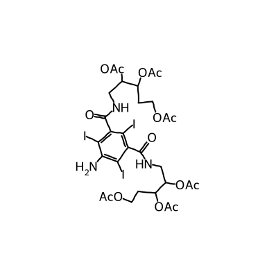 CC(=O)OCCC(OC(C)=O)C(CNC(=O)c1c(I)c(N)c(I)c(C(=O)NCC(OC(C)=O)C(CCOC(C)=O)OC(C)=O)c1I)OC(C)=O